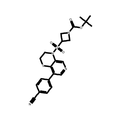 CC(C)(C)OC(=O)N1CC(S(=O)(=O)N2CCSc3c(-c4ccc(C#N)cc4)cncc32)C1